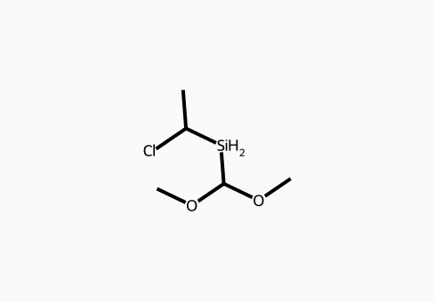 COC(OC)[SiH2]C(C)Cl